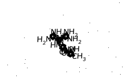 Cc1ccc(C(=O)Nc2ccc(Nc3nc(N4C[C@H](N)C[C@H](N)C4)nc(N4C[C@H](N)C[C@H](N)C4)n3)cc2O)c(O)c1